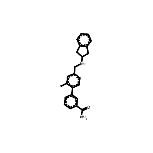 Cc1cc(CNC2Cc3ccccc3C2)ccc1-c1cccc(C(N)=O)c1